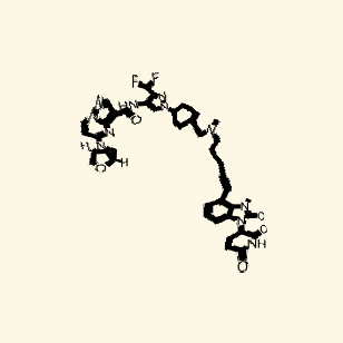 CN(CCCC#Cc1cccc2c1n(C)c(=O)n2C1CCC(=O)NC1=O)CC1CCC(n2cc(NC(=O)c3cnn4ccc(N5C[C@H]6C[C@@H]5CO6)nc34)c(C(F)F)n2)CC1